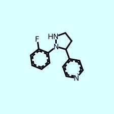 Fc1ccccc1N1NCCC1c1ccncc1